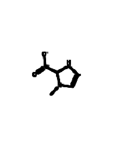 CN1C=[C]NC1[N+](=O)[O-]